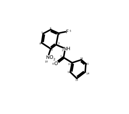 O=C(Nc1c(F)cccc1[N+](=O)[O-])c1ccccc1